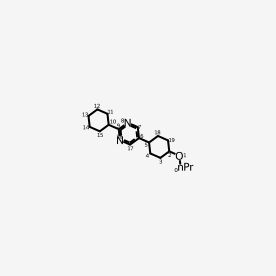 CCCOC1CCC(c2cnc(C3CCCCC3)nc2)CC1